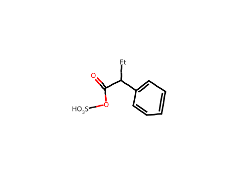 CCC(C(=O)OS(=O)(=O)O)c1ccccc1